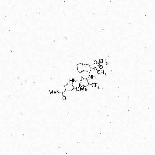 CNC(=O)c1ccc(Nc2ncc(C(F)(F)F)c(N[C@@H]3c4ccccc4C[C@H]3N(C)S(C)(=O)=O)n2)c(OC)c1